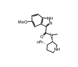 CCC[C@H]1CCNC[C@@H]1N(C)C(=O)c1n[nH]c2ccc(OC)cc12